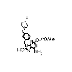 COCCOc1nc(N)c2nc(O)n(Cc3cccc(CN4CCC(F)CC4)c3)c2n1